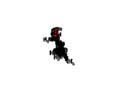 CCCCC[C@@H](C(=O)NCNC(=O)c1ccc(-c2ccc(C(=O)N[C@@H](CC(=O)O)C(=O)O)c(OCC)c2)o1)[C@@H](CC)N(C=O)OC(=O)C1CCNCC1